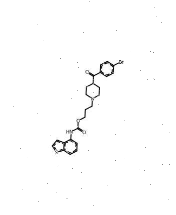 O=C(Nc1cccc2sccc12)OCCCN1CCC(C(=O)c2ccc(Br)cc2)CC1